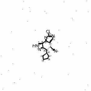 N#CC[C@@H](c1n[nH]cc1-c1ccnc(Cl)n1)C1CCCC1